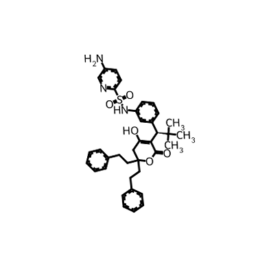 CC(C)(C)[C@@H](C1=C(O)CC(CCc2ccccc2)(CCc2ccccc2)OC1=O)c1cccc(NS(=O)(=O)c2ccc(N)cn2)c1